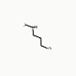 CCCCC[CH2][InH][Cl]